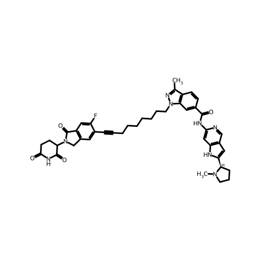 Cc1nn(CCCCCCCC#Cc2cc3c(cc2F)C(=O)N(C2CCC(=O)NC2=O)C3)c2cc(C(=O)Nc3cc4[nH]c([C@H]5CCCN5C)cc4cn3)ccc12